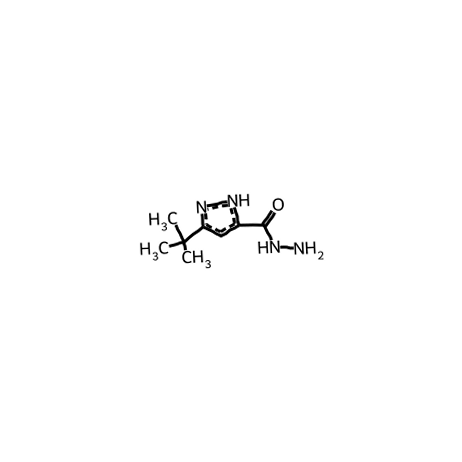 CC(C)(C)c1cc(C(=O)NN)[nH]n1